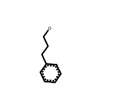 [O]C[CH]Cc1ccccc1